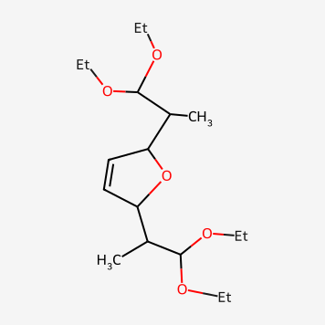 CCOC(OCC)C(C)C1C=CC(C(C)C(OCC)OCC)O1